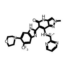 C[C@@H](Nc1c(-c2nc3cc(C(F)(F)F)c(N4CCOCC4)cc3[nH]2)c(=O)[nH]c2cn(C)nc12)c1ncccn1